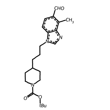 Cc1c(C=O)ccc2c1ncn2CCCC1CCN(C(=O)OC(C)(C)C)CC1